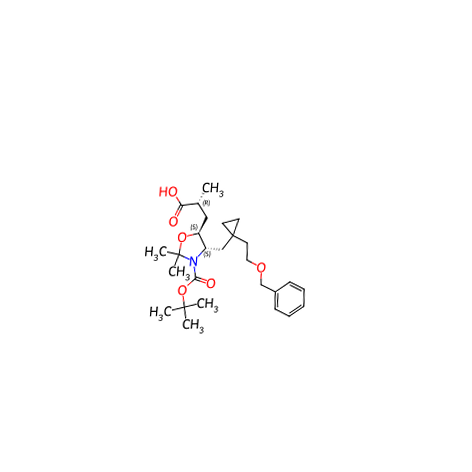 C[C@H](C[C@@H]1OC(C)(C)N(C(=O)OC(C)(C)C)[C@H]1CC1(CCOCc2ccccc2)CC1)C(=O)O